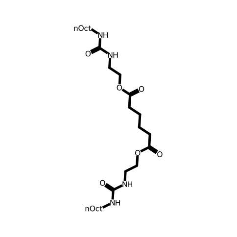 CCCCCCCCNC(=O)NCCOC(=O)CCCCC(=O)OCCNC(=O)NCCCCCCCC